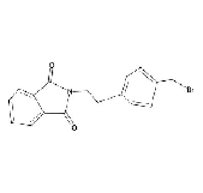 O=C1c2ccccc2C(=O)N1CCc1ccc(CBr)cc1